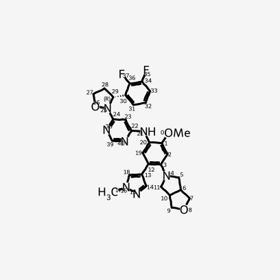 COc1cc(N2CC3COCC3C2)c(-c2cnn(C)c2)cc1Nc1cc(N2OCC[C@@H]2c2cccc(F)c2F)ncn1